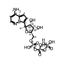 C[C@@]1(c2ccc3c(N)ccnn23)O[C@H](COP(=O)(O)OP(=O)(O)OP(=O)(O)O)[C@@H](O)[C@H]1O